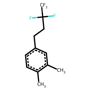 Cc1ccc(CCC(F)(F)C(F)(F)F)cc1C